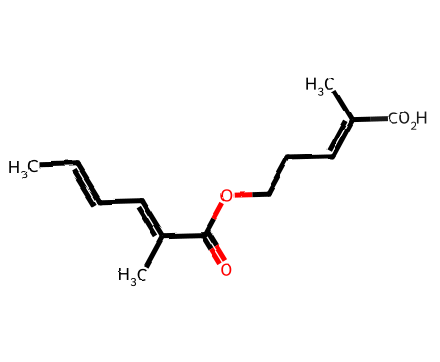 CC=CC=C(C)C(=O)OCCC=C(C)C(=O)O